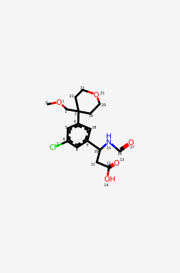 COCC1(c2cc(Cl)cc(C(CC(=O)O)NC=O)c2)CCOCC1